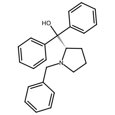 OC(c1ccccc1)(c1ccccc1)[C@@H]1CCCN1Cc1ccccc1